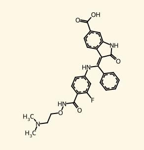 CN(C)CCONC(=O)c1ccc(N/C(=C2/C(=O)Nc3cc(C(=O)O)ccc32)c2ccccc2)cc1F